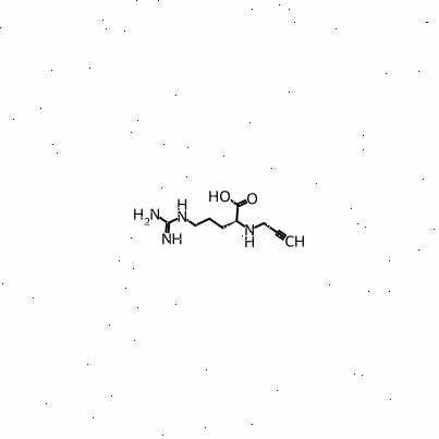 C#CCN[C@@H](CCCNC(=N)N)C(=O)O